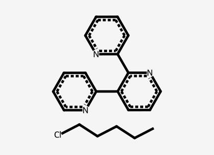 CCCCCCl.c1ccc(-c2cccnc2-c2ccccn2)nc1